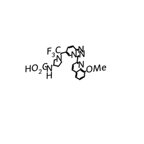 COc1cccc2ccc(-c3nnc4ccc([C@H](N5CC[C@H](NC(=O)O)C5)C(F)(F)F)cn34)nc12